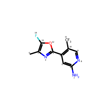 Cc1nc(-c2cc(N)ncc2C(F)(F)F)oc1F